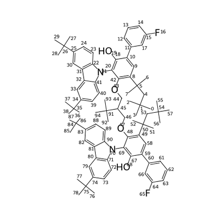 CC(C)(C)CC(C)(C)c1cc(-c2cccc(F)c2)c(O)c(-n2c3ccc(C(C)(C)C)cc3c3cc(C(C)(C)C)ccc32)c1OCC(COc1c(C(C)(C)CC(C)(C)C)cc(-c2cccc(F)c2)c(O)c1-n1c2ccc(C(C)(C)C)cc2c2cc(C(C)(C)C)ccc21)C(C)(C)C